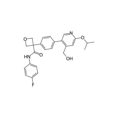 CC(C)Oc1cc(CO)c(-c2ccc(C3(C(=O)Nc4ccc(F)cc4)COC3)cc2)cn1